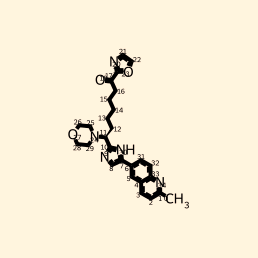 Cc1ccc2cc(-c3cnc([C@H](CCCCCC(=O)c4ncco4)N4CCOCC4)[nH]3)ccc2n1